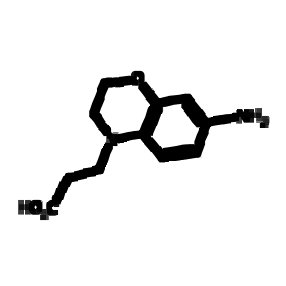 Nc1ccc2c(c1)OCCN2CCC(=O)O